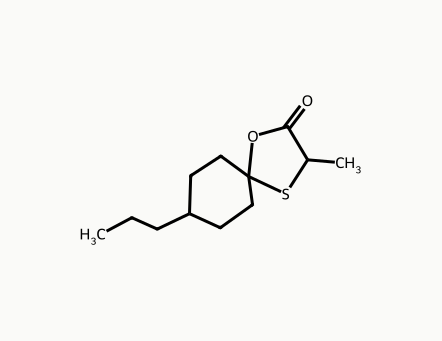 CCCC1CCC2(CC1)OC(=O)C(C)S2